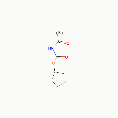 CCCCC(=O)NC(=O)OC1CCCC1